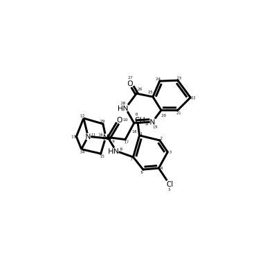 Cc1ccc(Cl)cc1NC(=O)N1C2CC1CN(Cc1nc3ccccc3c(=O)[nH]1)C2